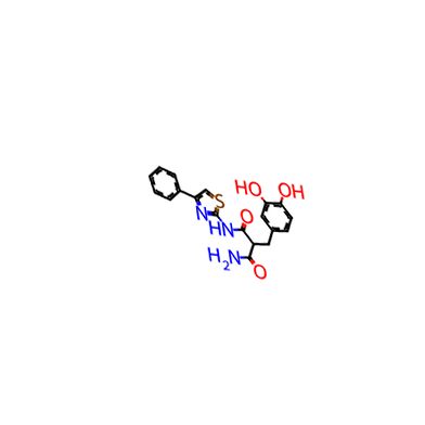 NC(=O)C(Cc1ccc(O)c(O)c1)C(=O)Nc1nc(-c2ccccc2)cs1